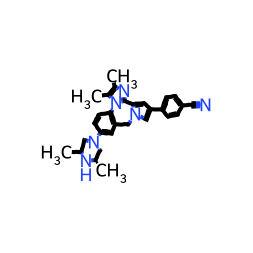 Cc1nc2n(c1C)-c1ccc(N3CC(C)N[C@H](C)C3)cc1Cn1cc(-c3ccc(C#N)cc3)cc1-2